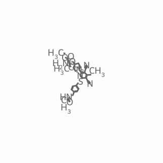 CCOC(=O)[C@@](N)(OC1CCN(c2nc(SCc3ccc(CNC(C)=O)cc3)c(C#N)c(CC)c2C#N)CC1)C(C)C